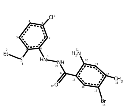 CCSc1ccc(Cl)cc1NNC(=O)c1cc(Br)c(C)cc1N